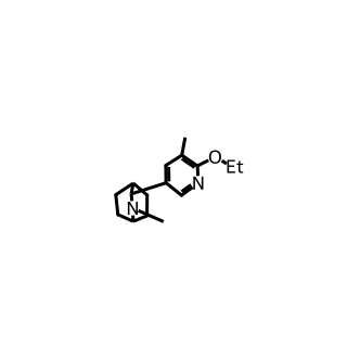 CCOc1ncc(C2C3CCC(CC3)N2C)cc1C